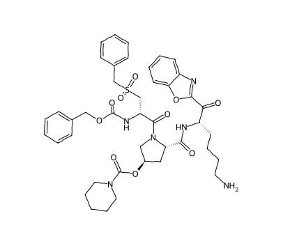 NCCCC[C@H](NC(=O)[C@@H]1C[C@@H](OC(=O)N2CCCCC2)CN1C(=O)[C@@H](CS(=O)(=O)Cc1ccccc1)NC(=O)OCc1ccccc1)C(=O)c1nc2ccccc2o1